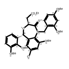 CCOC(=O)C[C@@H]1O[C@@H](c2cccc(OC)c2OC)c2cc(Cl)cc(OC)c2N(Cc2ccc(OC)cc2OC)C1=O